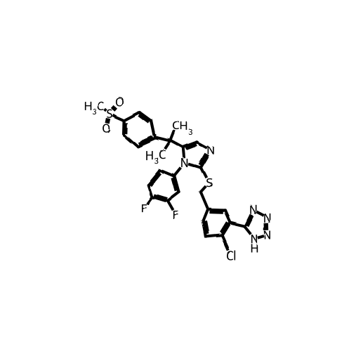 CC(C)(c1ccc(S(C)(=O)=O)cc1)c1cnc(SCc2ccc(Cl)c(-c3nnn[nH]3)c2)n1-c1ccc(F)c(F)c1